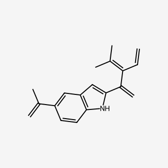 C=CC(C(=C)c1cc2cc(C(=C)C)ccc2[nH]1)=C(C)C